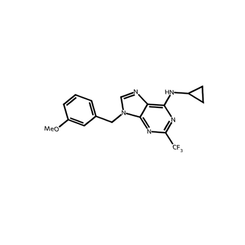 COc1cccc(Cn2cnc3c(NC4CC4)nc(C(F)(F)F)nc32)c1